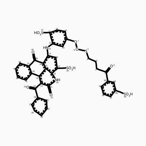 O=C(CCCSOOc1ccc(S(=O)(=O)O)c(Nc2cc(S(=O)(=O)O)c3[nH]c(=O)c(C(=O)c4ccccc4)c4c3c2C(=O)c2ccccc2-4)c1)c1cccc(S(=O)(=O)O)c1